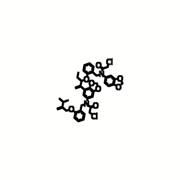 C=C(COc1ccccc1CN(C(=O)CCl)c1cc2c(c(C(=C)C(CC)Oc3ccccc3CN(C(=O)CCl)c3ccc4c(c3)OCO4)c1)OCO2)C(C)C